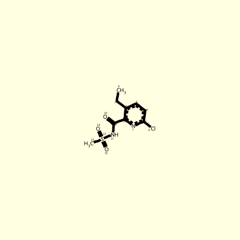 CCc1ccc(Cl)nc1C(=O)NS(C)(=O)=O